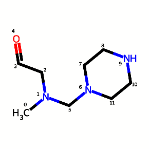 CN(CC=O)CN1CCNCC1